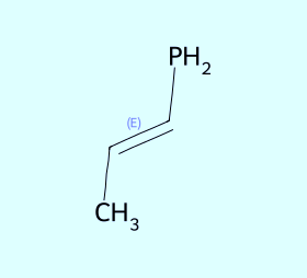 C/C=C/P